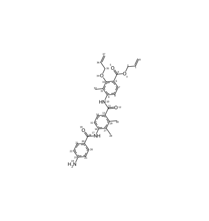 C=CCOC(=O)c1ccc(NC(=O)c2ccc(NC(=O)c3ccc(N)cc3)c(C)c2C)c(C)c1OCC=C